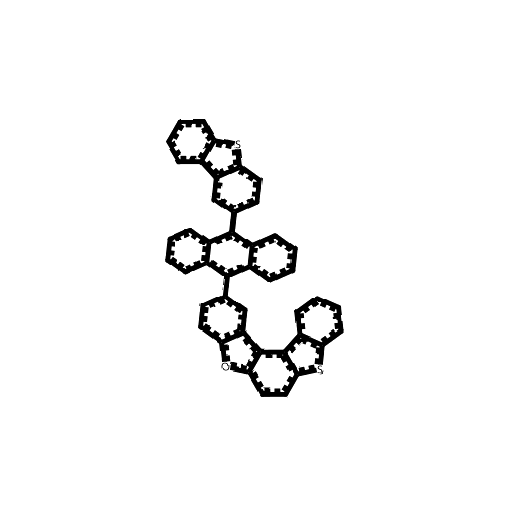 c1ccc2c(c1)sc1ccc(-c3c4ccccc4c(-c4ccc5oc6ccc7sc8ccccc8c7c6c5c4)c4ccccc34)cc12